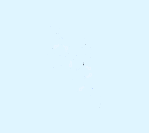 C=CCCC(NC(=O)[C@@H]1[C@@H]2[C@H](CN1C(=O)[C@@H](OC(=O)NC(C)(C)C)C1CCCCC1)C2(C)C)C(=O)C(=O)NCC=C